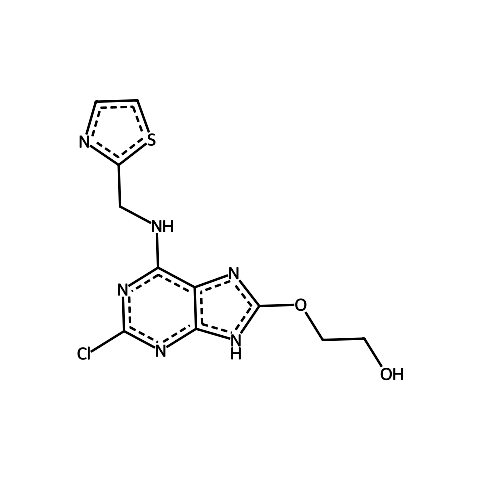 OCCOc1nc2c(NCc3nccs3)nc(Cl)nc2[nH]1